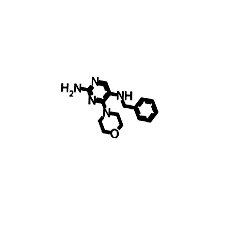 Nc1ncc(NCc2ccccc2)c(N2CCOCC2)n1